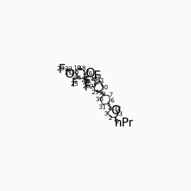 CCCC1CCC(C2CCC(c3ccc(C(F)(F)Oc4ccc(OCF)c(F)c4)c(F)c3)CC2)OC1